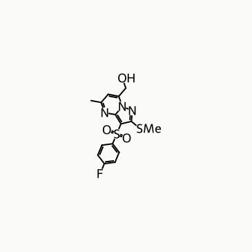 CSc1nn2c(CO)cc(C)nc2c1S(=O)(=O)c1ccc(F)cc1